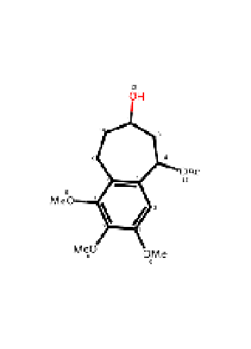 COc1cc2c(c(OC)c1OC)CCC(O)CC2OC(C)=O